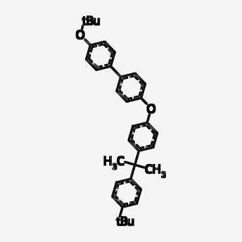 CC(C)(C)Oc1ccc(-c2ccc(Oc3ccc(C(C)(C)c4ccc(C(C)(C)C)cc4)cc3)cc2)cc1